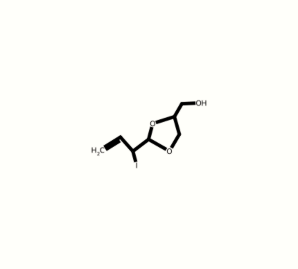 C=CC(I)C1OCC(CO)O1